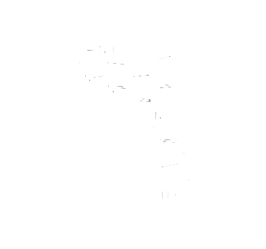 COc1ccc(CNC(=O)c2ccccc2-c2cnc3c(c2)NCCN3)cc1